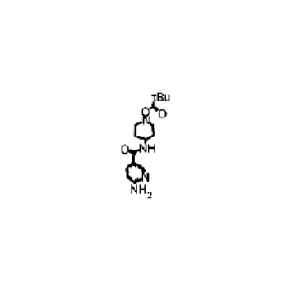 CC(C)(C)C(=O)ON1CCC(NC(=O)c2ccc(N)nc2)CC1